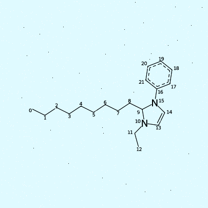 CCCCCCCCCC1N(CC)C=CN1c1ccccc1